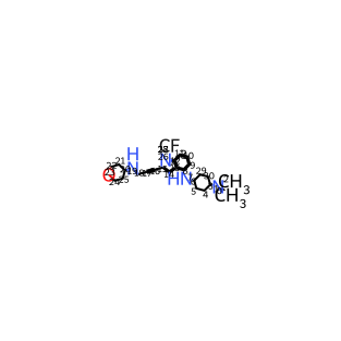 CN(C)[C@H]1CC[C@H](Nc2cccc3c2cc(C#CCNC2CCOCC2)n3CC(F)(F)F)CC1